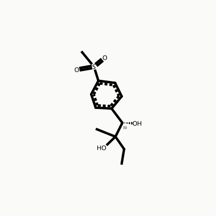 CCC(C)(O)[C@@H](O)c1ccc(S(C)(=O)=O)cc1